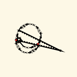 c1cc2ccc1CSCc1ccc(cc1)-c1cc3cc(c1)-c1ccc(cc1)CSCc1ccc(cc1)-c1cc-2cc(c1)-c1ccc(cc1)CSCc1ccc-3cc1